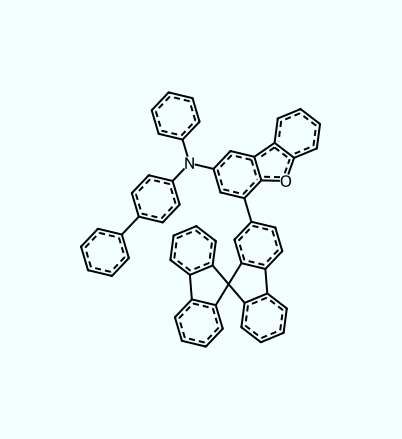 c1ccc(-c2ccc(N(c3ccccc3)c3cc(-c4ccc5c(c4)C4(c6ccccc6-c6ccccc64)c4ccccc4-5)c4oc5ccccc5c4c3)cc2)cc1